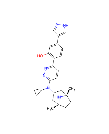 C[C@]12CC[C@](C)(C[C@H](N(c3ccc(-c4ccc(-c5cn[nH]c5)cc4O)nn3)C3CC3)C1)N2